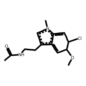 COC1C=c2c(CCNC(C)=O)cn(C)c2=CC1Cl